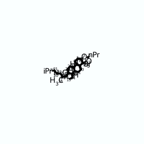 CCCC(=O)O[C@H]1CC[C@@]2(C)C(=CC[C@H]3[C@@H]4CC[C@H]([C@H](C)CCCC(C)C)[C@@]4(C)CC[C@@H]32)C1Br